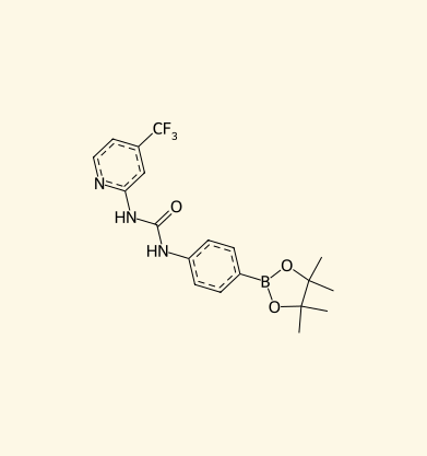 CC1(C)OB(c2ccc(NC(=O)Nc3cc(C(F)(F)F)ccn3)cc2)OC1(C)C